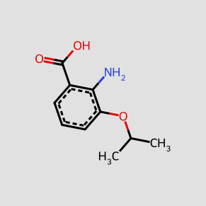 CC(C)Oc1cccc(C(=O)O)c1N